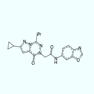 CC(C)c1nn(CC(=O)Nc2ccc3ncoc3c2)c(=O)c2cc(C3CC3)nn12